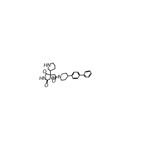 O=C1NC(=O)C(CC(=O)N2CCC(c3ccc(-c4ccccc4)cc3)CC2)(C2CCCNC2)N1